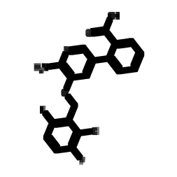 Nc1ncc(-c2ccccc2C(=O)O)cc1OCc1c(F)ccc(F)c1Cl